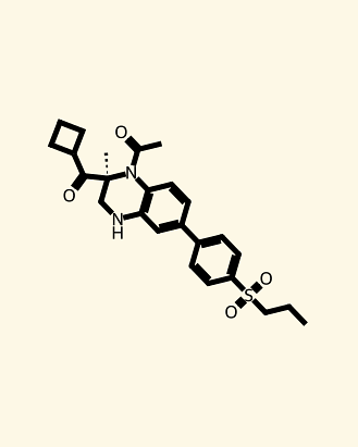 CCCS(=O)(=O)c1ccc(-c2ccc3c(c2)NC[C@@](C)(C(=O)C2CCC2)N3C(C)=O)cc1